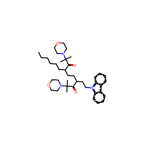 CCCCCCC(CCC(CCn1c2ccccc2c2ccccc21)C(=O)C(C)(C)N1CCOCC1)C(=O)C(C)(C)N1CCOCC1